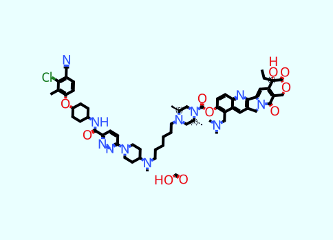 CC[C@@]1(O)C(=O)OCc2c1cc1n(c2=O)Cc2cc3c(CN(C)C)c(OC(=O)N4C[C@H](C)N(CCCCCCN(C)C5CCN(c6ccc(C(=O)NC7CCC(Oc8ccc(C#N)c(Cl)c8C)CC7)nn6)CC5)C[C@H]4C)ccc3nc2-1.O=CO